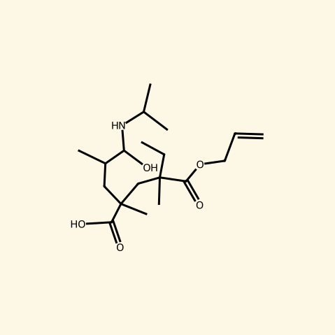 C=CCOC(=O)C(C)(CC)CC(C)(CC(C)C(O)NC(C)C)C(=O)O